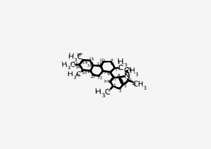 CC1CC2=C(C(C3C(C)CCC4C5CC(C)C(C)C(C)C5CCC43)C1)N(C)C2C